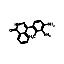 Cc1c(-c2n[nH]c(=O)c3ccccc23)ccc(N)c1N